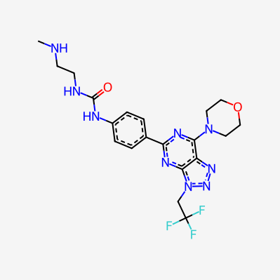 CNCCNC(=O)Nc1ccc(-c2nc(N3CCOCC3)c3nnn(CC(F)(F)F)c3n2)cc1